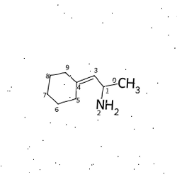 CC(N)C=C1CCCCC1